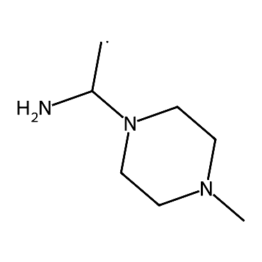 [CH2]C(N)N1CCN(C)CC1